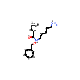 NCCCCCN(OCc1ccccc1)C(=O)CCC(=O)O